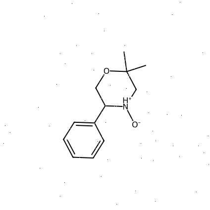 CC1(C)C[NH+]([O-])C(c2ccccc2)CO1